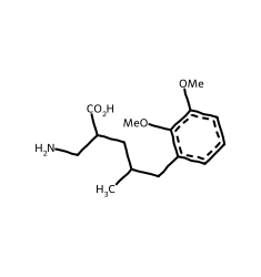 COc1cccc(CC(C)CC(CN)C(=O)O)c1OC